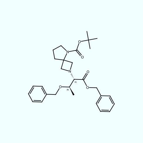 C[C@@H](OCc1ccccc1)[C@@H](C(=O)OCc1ccccc1)N1CC2(CCCN2C(=O)OC(C)(C)C)C1